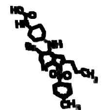 CCCc1cc2c(N[C@H]3CC[C@H](NC(=O)O)CC3)c(Br)cnc2n1S(=O)(=O)c1ccc(C)cc1